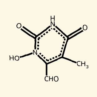 Cc1c(C=O)n(O)c(=O)[nH]c1=O